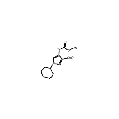 CC(C)(C)OC(=O)Nc1cn(C2CCCCO2)nc1C=O